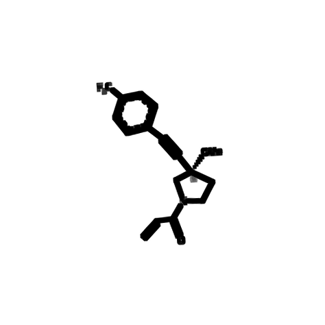 C=CC(=O)N1CC[C@@](C#Cc2ccc(C(F)(F)F)cc2)(OC)C1